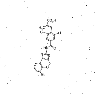 CCc1cccc2c1OCc1sc(NC(=O)c3cc(Cl)c(C=C(C)C(=O)O)c(Cl)c3)nc1-2